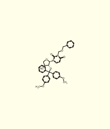 COc1ccc(C(O[C@H]2[C@H](n3ccc(=O)n(COCc4ccccc4)c3=O)OC[C@@H]2O)(c2ccccc2)c2ccc(OC)cc2)cc1